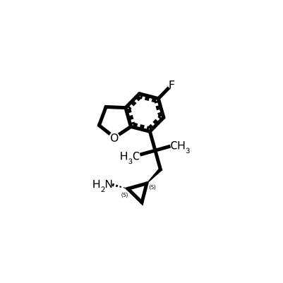 CC(C)(C[C@H]1C[C@@H]1N)c1cc(F)cc2c1OCC2